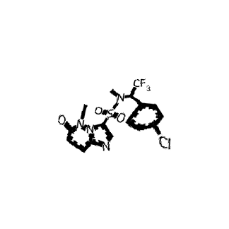 CN(C(c1ccc(Cl)cc1)C(F)(F)F)S(=O)(=O)c1cnc2ccc(=O)n(C)n12